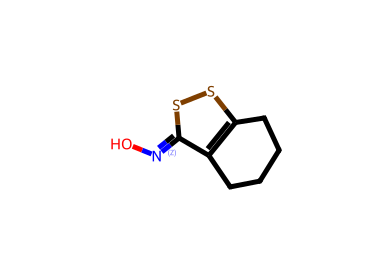 O/N=c1\ssc2c1CCCC2